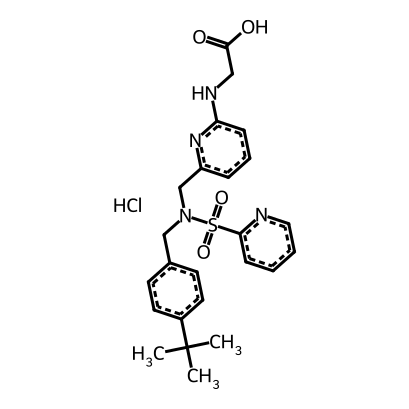 CC(C)(C)c1ccc(CN(Cc2cccc(NCC(=O)O)n2)S(=O)(=O)c2ccccn2)cc1.Cl